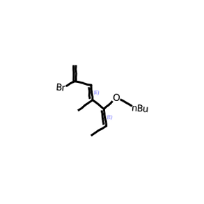 C=C(Br)/C=C(C)/C(=C\C)OCCCC